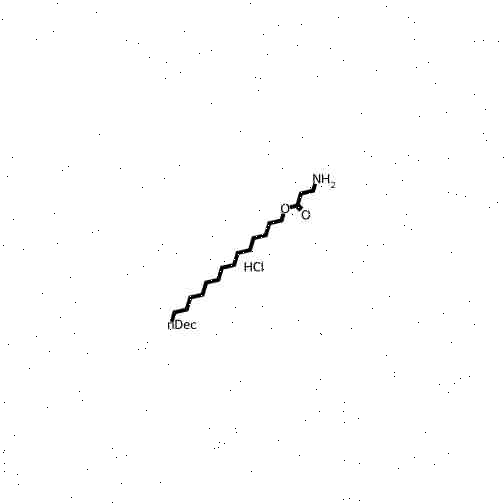 CCCCCCCCCCCCCCCCCCCCCCCCOC(=O)CCN.Cl